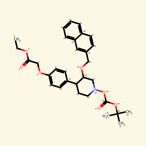 CCOC(=O)COc1ccc(C2CCN(OC(=O)OC(C)(C)C)CC2OCc2ccc3ccccc3c2)cc1